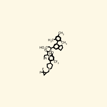 Cc1cc(C)c(-c2cc(C(CC(=O)O)NC(=O)C(CC(C)C)n3cc(C4CCN(CC5CC5(F)F)CC4)c(C(F)(F)F)cc3=O)cc3c2CCC3)c(C)c1